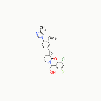 COc1cc(C2CC23CCCN(C(CO)c2cc(F)cc(Cl)c2)C3=O)ccc1-n1cnc(C)c1